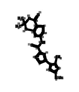 CC(=O)Nc1nc(C)c(-c2csc(C(=O)Nc3ccc4c(c3)OC(C)(C)OC4=O)n2)s1